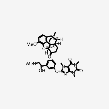 CNC[C@H](O)c1cccc(O)c1.COc1ccc2c3c1O[C@H]1C(=O)CC[C@H]4[C@@H](C2)N(C)CC[C@]314.Cn1c(=O)c2c(ncn2C)n(C)c1=O